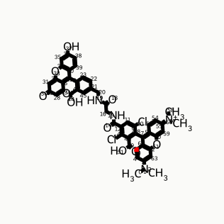 CN(C)c1ccc2c(-c3c(Cl)cc(C(=O)NCC(=O)NCc4ccc(-c5c6ccc(=O)cc-6oc6cc(O)ccc56)c(C(=O)O)c4)c(Cl)c3C(=O)O)c3ccc(=[N+](C)C)cc-3oc2c1